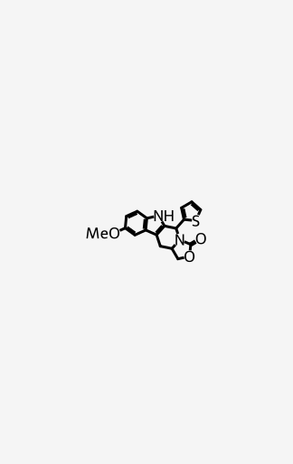 COc1ccc2[nH]c3c(c2c1)CC1COC(=O)N1C3c1cccs1